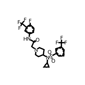 O=C(CN1CCC(N(C2CC2)S(=O)(=O)c2cccc(C(F)(F)F)c2)CC1)Nc1ccc(F)c(C(F)(F)F)c1